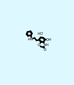 Cl.O=C1COc2c(CCNc3ccccc3)ccc(O)c2N1